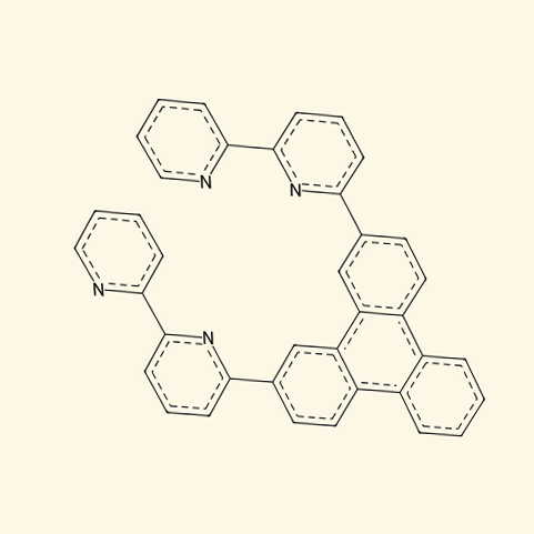 c1ccc(-c2cccc(-c3ccc4c5ccccc5c5ccc(-c6cccc(-c7ccccn7)n6)cc5c4c3)n2)nc1